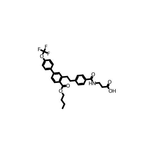 CCCCOC(=O)c1ccc(-c2ccc(OC(F)(F)F)cc2)cc1CCc1ccc(C(=O)NCCC(=O)O)cc1